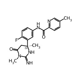 Cc1ccc(C(=O)Nc2ccc(F)c([C@]3(C)CC(=O)N(C)C(=N)N3)c2)nc1